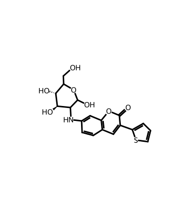 O=c1oc2cc(NC3C(O)OC(CO)[C@@H](O)[C@@H]3O)ccc2cc1-c1cccs1